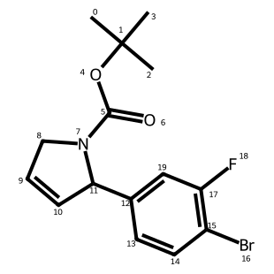 CC(C)(C)OC(=O)N1CC=CC1c1ccc(Br)c(F)c1